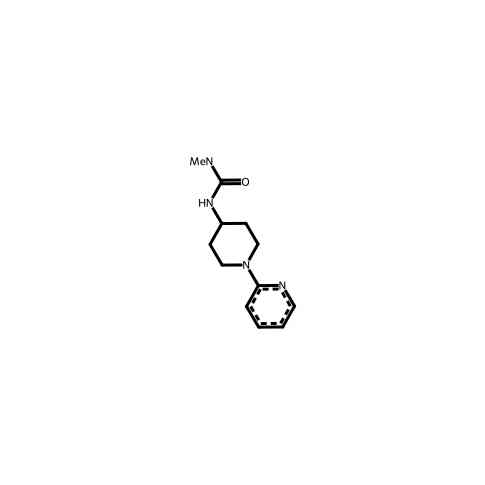 CNC(=O)NC1CCN(c2ccccn2)CC1